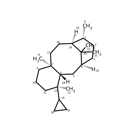 C[C@@H]1CC[C@H]2C[C@H]3[C@@](C)(CCC[C@]3(C)C3CC3)CC[C@@H]1C2(C)C